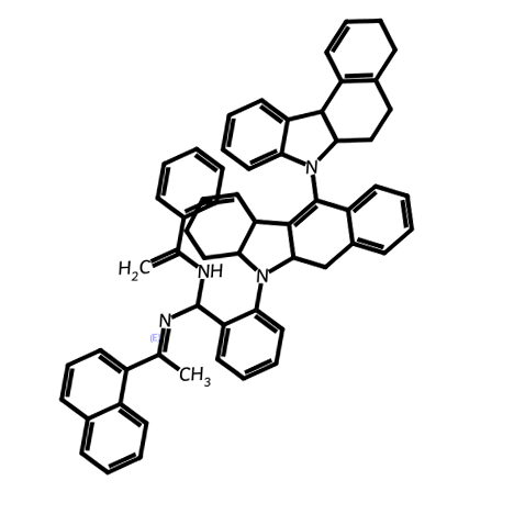 C=C(NC(/N=C(\C)c1cccc2ccccc12)c1ccccc1N1C2Cc3ccccc3C(N3c4ccccc4C4C5=C(CCC=C5)CCC43)=C2C2C=CCCC21)c1ccccc1